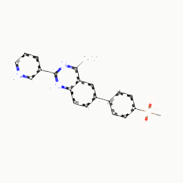 CNc1nc(-c2cccnc2)nc2ccc(-c3ccc(S(=O)(=O)C(C)C)cc3)cc12